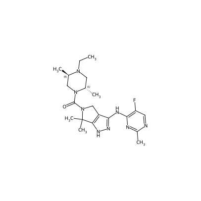 CCN1C[C@H](C)N(C(=O)N2Cc3c(Nc4nc(C)ncc4F)n[nH]c3C2(C)C)C[C@H]1C